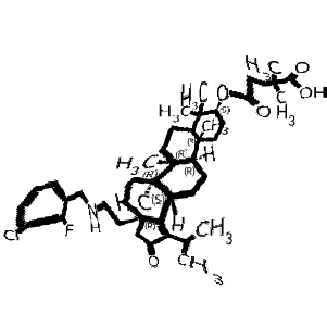 CC(C)C1=C2[C@H]3CC[C@@H]4[C@@]5(C)CC[C@H](OC(=O)CC(C)(C)C(=O)O)C(C)(C)C5CC[C@@]4(C)[C@]3(C)CC[C@@]2(CCNCc2cccc(Cl)c2F)CC1=O